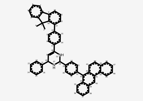 CC1(C)c2ccccc2-c2cccc(-c3ccc(C4=CC(c5ccccc5)NC(c5ccc(-c6c7ccccc7cc7c6ccc6ccccc67)cc5)N4)cc3)c21